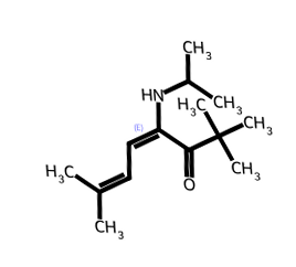 CC(C)=C/C=C(/NC(C)C)C(=O)C(C)(C)C